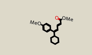 COC(=O)/C=C/C=C(\c1ccc(OC)cc1)C1CCCCC1